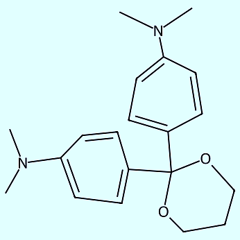 CN(C)c1ccc(C2(c3ccc(N(C)C)cc3)OCCCO2)cc1